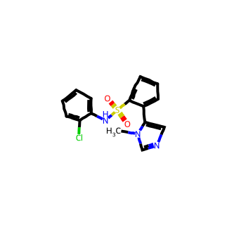 Cn1cncc1-c1ccccc1S(=O)(=O)Nc1ccccc1Cl